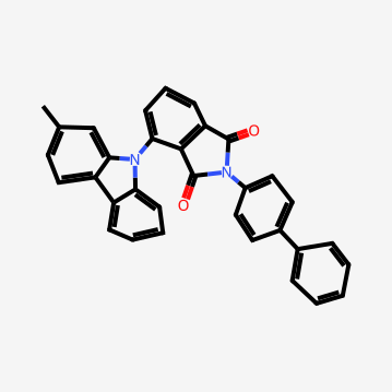 Cc1ccc2c3ccccc3n(-c3cccc4c3C(=O)N(c3ccc(-c5ccccc5)cc3)C4=O)c2c1